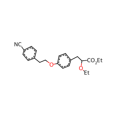 CCOC(=O)C(Cc1ccc(OCCc2ccc(C#N)cc2)cc1)OCC